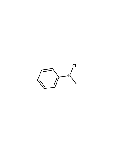 CN(Cl)c1c[c]ccc1